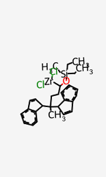 CC[Si](CC)(CC)O[CH](CCC(C)(C1C=Cc2ccccc21)C1C=Cc2ccccc21)[Zr]([Cl])[Cl]